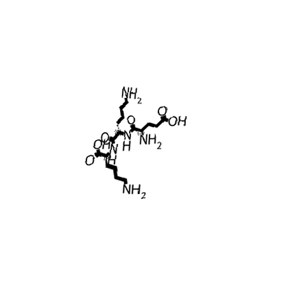 NCCCC[C@H](NC(=O)[C@H](CCCCN)NC(=O)[C@@H](N)CCC(=O)O)C(=O)O